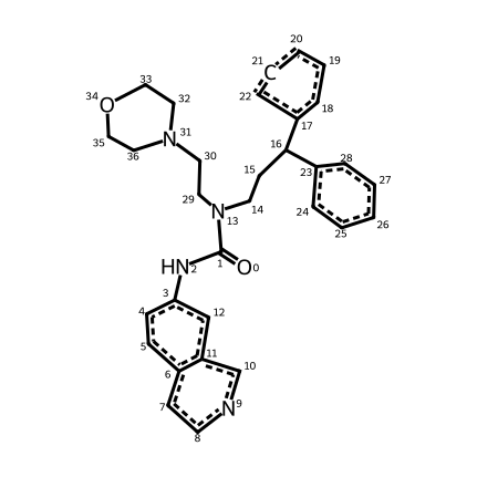 O=C(Nc1ccc2ccncc2c1)N(CCC(c1ccccc1)c1ccccc1)CCN1CCOCC1